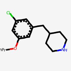 CCCOc1cc(Cl)cc(CC2CCNCC2)c1